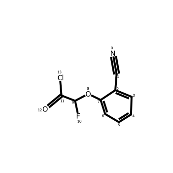 N#Cc1ccccc1OC(F)C(=O)Cl